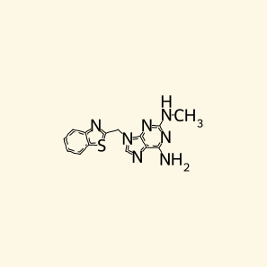 CNc1nc(N)c2ncn(Cc3nc4ccccc4s3)c2n1